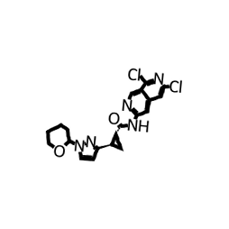 O=C(Nc1cc2cc(Cl)nc(Cl)c2cn1)[C@@H]1C[C@H]1c1ccn(C2CCCCO2)n1